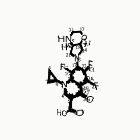 O=C(O)c1cn(C2CC2)c2c(F)c(N3C[C@@H]4OCCN[C@@H]4C3)c(F)c(F)c2c1=O